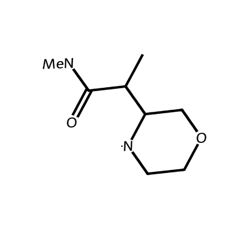 CNC(=O)C(C)C1COCC[N]1